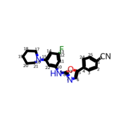 N#Cc1ccc(-c2cnc(Nc3cc(F)cc(N4CCCCC4)c3)o2)cc1